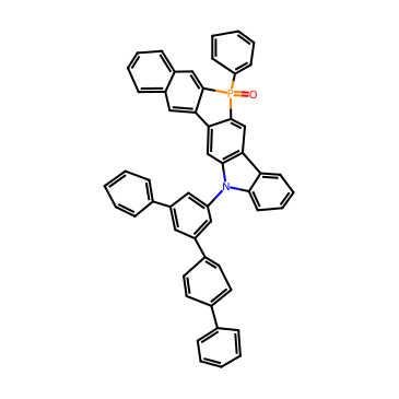 O=P1(c2ccccc2)c2cc3ccccc3cc2-c2cc3c(cc21)c1ccccc1n3-c1cc(-c2ccccc2)cc(-c2ccc(-c3ccccc3)cc2)c1